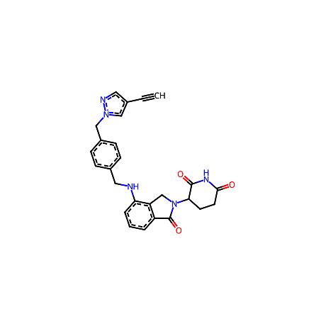 C#Cc1cnn(Cc2ccc(CNc3cccc4c3CN(C3CCC(=O)NC3=O)C4=O)cc2)c1